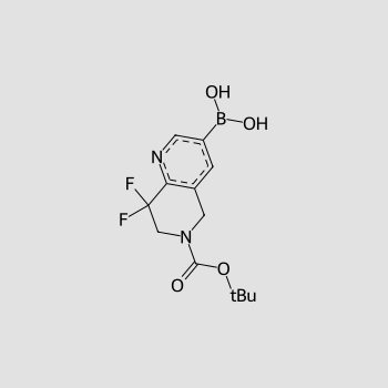 CC(C)(C)OC(=O)N1Cc2cc(B(O)O)cnc2C(F)(F)C1